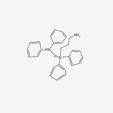 NCCC[Si](O[SiH](c1ccccc1)c1ccccc1)(c1ccccc1)c1ccccc1